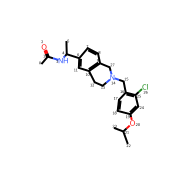 CC(=O)NC(C)c1ccc2c(c1)CCN(Cc1ccc(OC(C)C)cc1Cl)C2